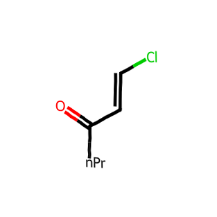 CCCC(=O)C=CCl